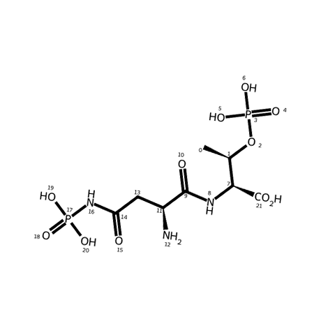 C[C@@H](OP(=O)(O)O)[C@H](NC(=O)[C@@H](N)CC(=O)NP(=O)(O)O)C(=O)O